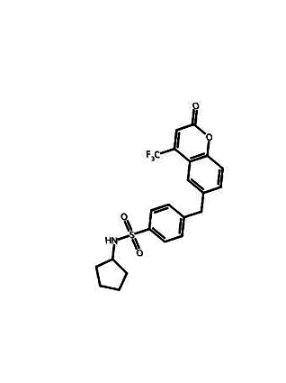 O=c1cc(C(F)(F)F)c2cc(Cc3ccc(S(=O)(=O)NC4CCCC4)cc3)ccc2o1